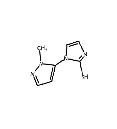 Cn1nccc1-n1ccnc1S